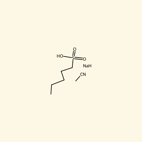 CC#N.CCCCCS(=O)(=O)O.[NaH]